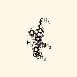 CCCCc1ccc2c(c1)C(c1ccccc1C)c1ccc([N+](CC)(CC)Nc3cccc(S(C)(=O)=O)c3)cc1O2